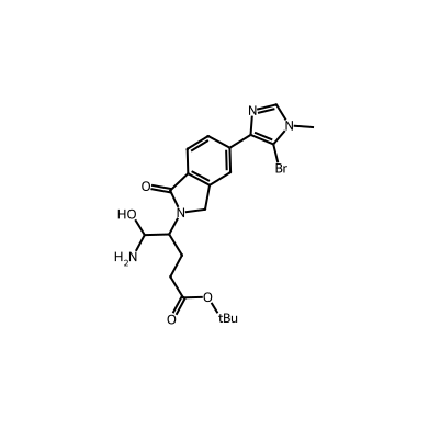 Cn1cnc(-c2ccc3c(c2)CN(C(CCC(=O)OC(C)(C)C)C(N)O)C3=O)c1Br